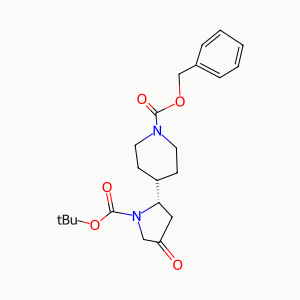 CC(C)(C)OC(=O)N1CC(=O)C[C@H]1C1CCN(C(=O)OCc2ccccc2)CC1